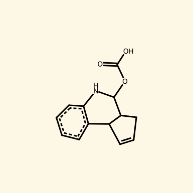 O=C(O)OC1Nc2ccccc2C2C=CCC12